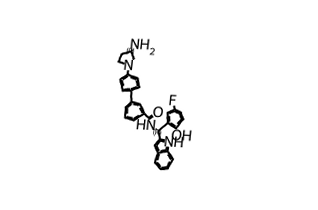 N[C@@H]1CCN(c2ccc(-c3cccc(C(=O)N[C@@H](c4cc5ccccc5[nH]4)c4cc(F)ccc4O)c3)cc2)C1